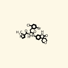 Cn1nccc1C(=O)NC(Cc1cc(Br)ccc1Cl)C(=O)Nc1ccc2c(c1)NC(=O)C21CCOCC1